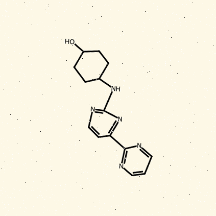 OC1CCC(Nc2nccc(-c3ncccn3)n2)CC1